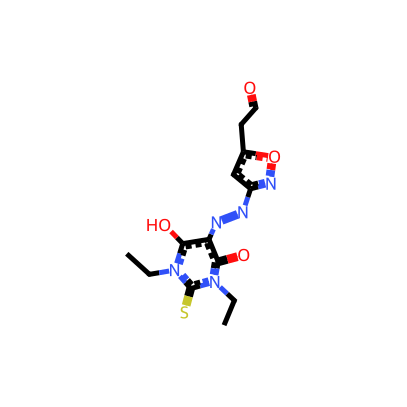 CCn1c(O)c(N=Nc2cc(CC=O)on2)c(=O)n(CC)c1=S